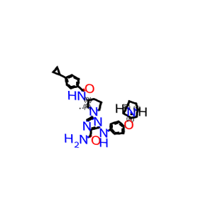 C[C@@H]1[C@H](NC(=O)c2ccc(C3CC3)cc2)CCCN1c1cnc(C(N)=O)c(Nc2ccc(O[C@H]3C[C@H]4CC[C@@H](C3)N4C)cc2)n1